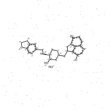 Cl.O=c1ccc2ncc(Cl)c3c2n1CC3CN1CC[C@H](NCc2cc3c(cn2)OCS3)[C@H](O)C1